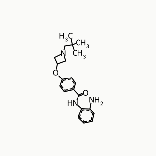 CC(C)(C)CN1CC(Oc2ccc(C(=O)Nc3ccccc3N)cc2)C1